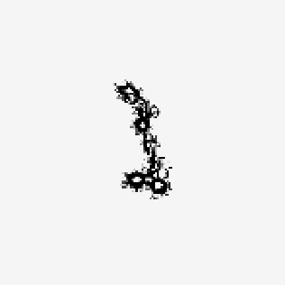 CCNC(=O)C1(CCCCN2CCN(c3ccc4c(c3)C(=O)N(CC3CCCCO3)C4)CC2)c2ccccc2-c2ccccc21